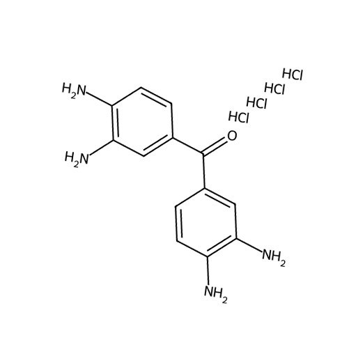 Cl.Cl.Cl.Cl.Nc1ccc(C(=O)c2ccc(N)c(N)c2)cc1N